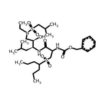 CCCC(CCC)S(=O)(=O)CC(NC(=O)OCc1ccccc1)C(=O)N[C@@H](CC(C)C)[C@H](O)CN(CC)S(=O)(=O)CC(C)C